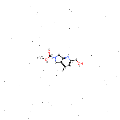 Cc1cc(CO)nc2c1CN(C(=O)OC(C)(C)C)C2